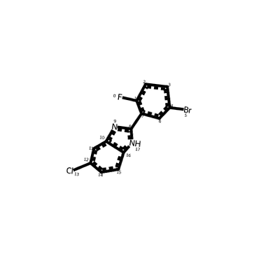 Fc1ccc(Br)cc1-c1nc2cc(Cl)ccc2[nH]1